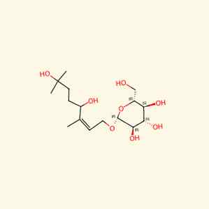 CC(=CCO[C@@H]1O[C@H](CO)[C@@H](O)[C@H](O)[C@H]1O)C(O)CCC(C)(C)O